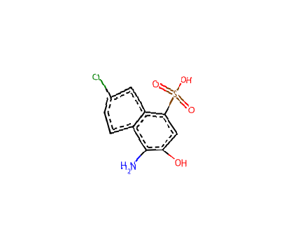 Nc1c(O)cc(S(=O)(=O)O)c2cc(Cl)ccc12